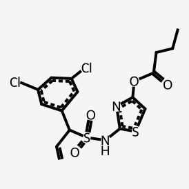 C=CC(c1cc(Cl)cc(Cl)c1)S(=O)(=O)Nc1nc(OC(=O)CCC)cs1